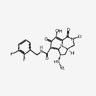 CCN[C@@H]1C[C@@H]2CN(CC)C(=O)c3c(O)c(=O)c(C(=O)NCc4cccc(F)c4F)c1n32